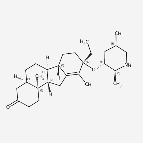 CC[C@]1(O[C@@H]2C[C@H](C)CN[C@H]2C)CC[C@@H]2C(=C1C)C[C@H]1[C@H]2CC[C@@H]2CC(=O)CC[C@@]21C